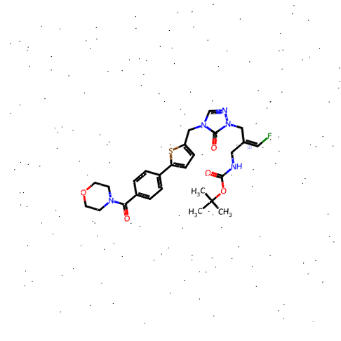 CC(C)(C)OC(=O)NC/C(=C/F)Cn1ncn(Cc2ccc(-c3ccc(C(=O)N4CCOCC4)cc3)s2)c1=O